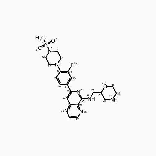 CS(=O)(=O)N1CCN(c2ccc(-c3cc4nccnc4c(NC[C@@H]4CNCCO4)n3)cc2F)CC1